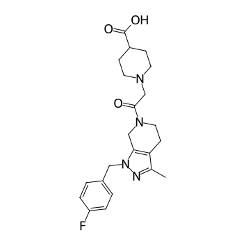 Cc1nn(Cc2ccc(F)cc2)c2c1CCN(C(=O)CN1CCC(C(=O)O)CC1)C2